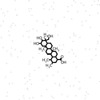 CC1CC(C(=O)O)C2CCC3(C)C(=CCC4C3CCC3C(C)(CO)C(O)C(O)CC43C)C2C1C